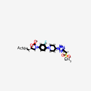 CC(=O)NC[C@H]1CN(c2ccc(N3CCC(n4nnc(CS(C)(=O)=O)n4)CC3)c(F)c2)C(=O)O1